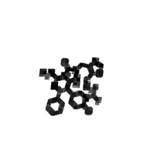 Cc1ocnc1Cn1[nH]c2c(-c3ccc(=O)n(C(F)F)c3)c(-c3ccccc3)nc(N)[n+]2c1=O